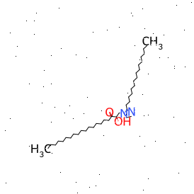 CCCCCCCCCCCCCCCCCC(=O)C(O)CN1CCN=C1CCCCCCCCCCCCCCCCC